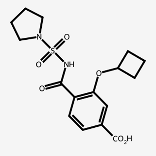 O=C(O)c1ccc(C(=O)NS(=O)(=O)N2CCCC2)c(OC2CCC2)c1